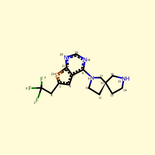 FC(F)(F)Cc1cc2c(N3CC[C@@]4(CCNC4)C3)ncnc2s1